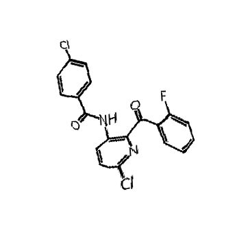 O=C(Nc1ccc(Cl)nc1C(=O)c1ccccc1F)c1ccc(Cl)cc1